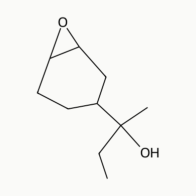 CCC(C)(O)C1CCC2OC2C1